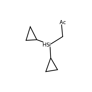 CC(=O)C[SiH](C1CC1)C1CC1